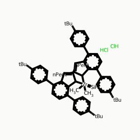 CCCCCC1=Cc2c(-c3ccc(C(C)(C)C)cc3)ccc(-c3ccc(C(C)(C)C)cc3)c2[CH]1[Zr]([CH3])([CH3])(=[SiH2])[CH]1C(CCCCC)=Cc2c(-c3ccc(C(C)(C)C)cc3)ccc(-c3ccc(C(C)(C)C)cc3)c21.Cl.Cl